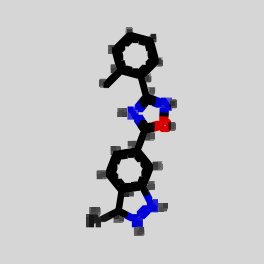 Cc1ccccc1-c1noc(-c2ccc3c(c2)N=NC3C(C)C)n1